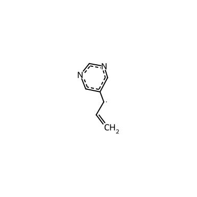 C=C[CH]c1cncnc1